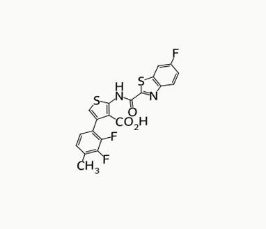 Cc1ccc(-c2csc(NC(=O)c3nc4ccc(F)cc4s3)c2C(=O)O)c(F)c1F